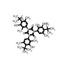 Cc1cc(-n2c(=O)n(-c3cc(C)c(C(C)(C)C)c(O)c3C)c(=O)n(-c3cc(C)c(C(C)(C)C)c(O)c3C)c2=O)c(C)c(O)c1C(C)(C)C